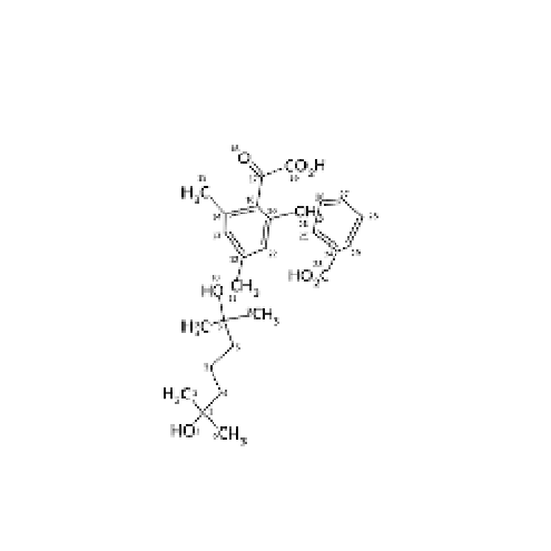 CC(C)(O)CCCC(C)(C)O.Cc1cc(C)c(C(=O)C(=O)O)c(C)c1.O=C(O)c1ccccc1